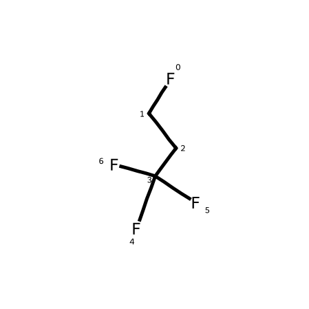 FCCC(F)(F)F